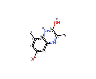 Cc1nc2cc(Br)cc(C)c2nc1O